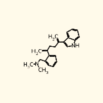 C=C(CCC(=C)c1c[nH]c2ccccc12)c1ccccc1CN(C)C